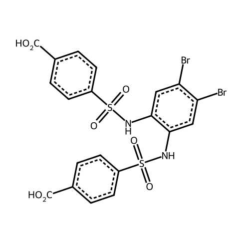 O=C(O)c1ccc(S(=O)(=O)Nc2cc(Br)c(Br)cc2NS(=O)(=O)c2ccc(C(=O)O)cc2)cc1